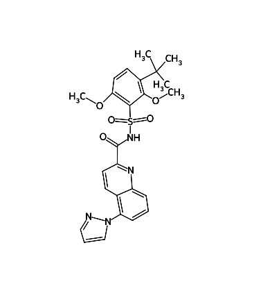 COc1ccc(C(C)(C)C)c(OC)c1S(=O)(=O)NC(=O)c1ccc2c(-n3cccn3)cccc2n1